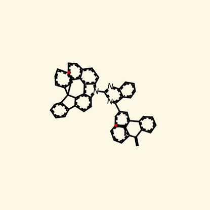 C=C(c1ccccc1)c1ccccc1-c1cc(-c2nc(-n3c4ccc5c6c4c4c7c(cccc7ccc43)C6(c3ccccc3)c3ccccc3-5)nc3ccccc23)ccc1C